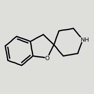 c1ccc2c(c1)CC1(CCNCC1)O2